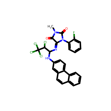 CN1C(=O)C(=NC(Nc2ccc3c(ccc4ccccc43)c2)C(Cl)C(Cl)(Cl)Cl)N(c2ccccc2F)C1=O